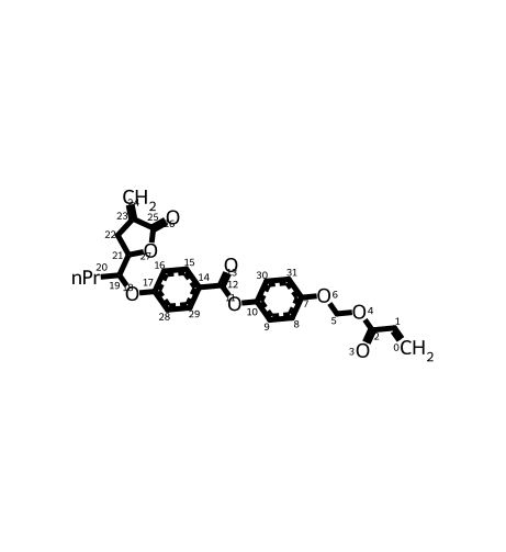 C=CC(=O)OCOc1ccc(OC(=O)c2ccc(OC(CCC)C3CC(=C)C(=O)O3)cc2)cc1